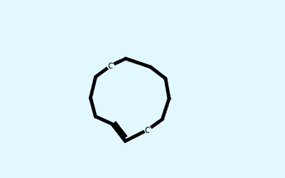 [CH]1CC/C=C/CCCCCCC1